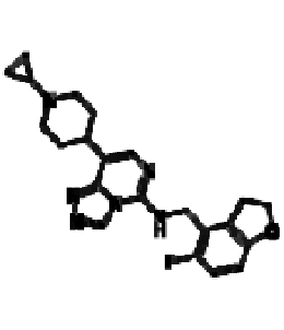 Fc1ccc2c(c1CNc1ncc(C3CCN(C4CC4)CC3)c3nncn13)CCO2